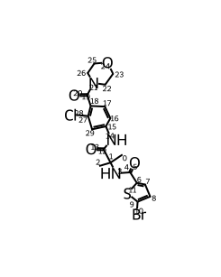 CC(C)(NC(=O)c1ccc(Br)s1)C(=O)Nc1ccc(C(=O)N2CCOCC2)c(Cl)c1